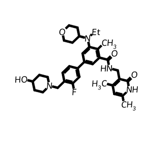 CCN(c1cc(-c2ccc(CN3CCC(O)CC3)c(F)c2)cc(C(=O)NCc2c(C)cc(C)[nH]c2=O)c1C)C1CCOCC1